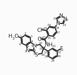 Cc1ccc2c(c1)nc1n2C[C@](NC(=O)c2ccc(-n3cnnc3)cc2Cl)(c2cccc(F)c2)CS1